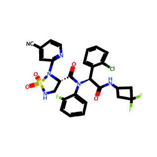 N#Cc1ccnc(N2[C@H](C(=O)N(c3ccccc3F)[C@H](C(=O)NC3CC(F)(F)C3)c3ccccc3Cl)CNS2(=O)=O)c1